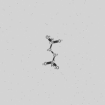 O=[SH](=O)OO[SH](=O)=O